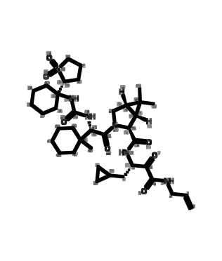 C=CCNC(=O)C(=O)[C@H](CC1CC1)NC(=O)[C@@H]1[C@@H]2[C@H](CN1C(=O)[C@@H](NC(=O)NC1([C@H]3CCCS3(=O)=O)CCCCC1)C1(C)CCCCC1)C2(C)C